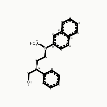 O=C(O)N(CC[C@H](CO)c1ccccc1)c1ccc2ccccc2c1